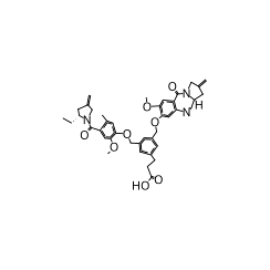 C=C1C[C@@H](CC)N(C(=O)c2cc(OC)c(OCc3cc(CCC(=O)O)cc(COc4cc5c(cc4OC)C(=O)N4CC(=C)C[C@H]4C=N5)c3)cc2C)C1